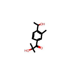 Cc1cc(C(=O)C(C)(C)O)ccc1C(C)O